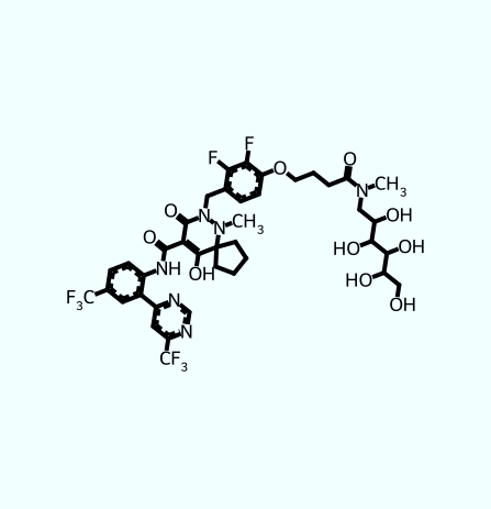 CN(CC(O)C(O)C(O)C(O)CO)C(=O)CCCOc1ccc(CN2C(=O)C(C(=O)Nc3ccc(C(F)(F)F)cc3-c3cc(C(F)(F)F)ncn3)=C(O)C3(CCCC3)N2C)c(F)c1F